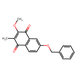 COC1=C(C)C(=O)c2ccc(OCc3ccccc3)cc2C1=O